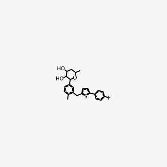 Cc1ccc(C2OC(C)CC(O)C2O)cc1Cc1ccc(-c2ccc(F)cc2)s1